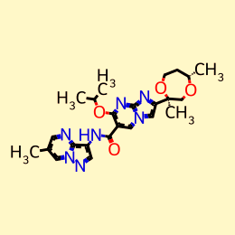 Cc1cnc2c(NC(=O)c3cn4cc([C@]5(C)CO[C@@H](C)CCO5)nc4nc3OC(C)C)cnn2c1